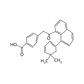 CC1(C)C=CC=C(c2cccc3cccc(C(=O)Cc4ccc(C(=O)O)cc4)c23)C1